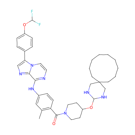 Cc1cc(Nc2nccn3c(-c4ccc(OC(F)F)cc4)cnc23)ccc1C(=O)N1CCC(OC2NCC3(CCCCCCCCC3)CN2)CC1